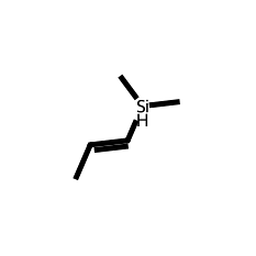 CC=C[SiH](C)C